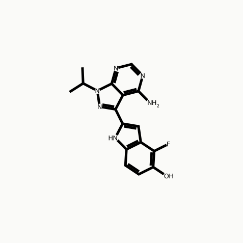 CC(C)n1nc(-c2cc3c(F)c(O)ccc3[nH]2)c2c(N)ncnc21